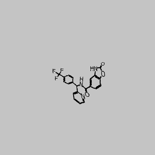 O=C(NC(c1ccc(C(F)(F)F)cc1)c1ccccn1)c1ccc2oc(=O)[nH]c2c1